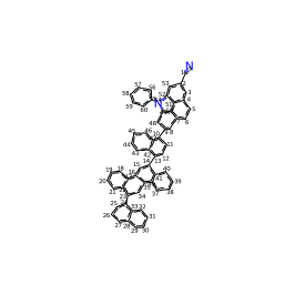 N#Cc1cc2ccc3cc(-c4ccc(-c5cc6c7ccccc7c(-c7cccc8ccccc78)cc6c6ccccc56)c5ccccc45)cc4c3c2c(c1)n4-c1ccccc1